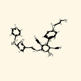 N#Cc1c(N)nc(SCc2csc(Nc3ccncc3)n2)c(C#N)c1-c1ccc(OCCO)cc1